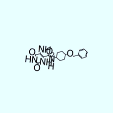 Nc1c(C(=O)NC2CCC(OCc3ccccc3)CC2)[nH]c(=O)[nH]c1=O